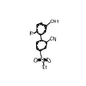 CCS(=O)(=O)c1ccc(-c2cc(O)ccc2F)c(C#N)c1